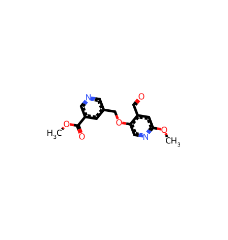 COC(=O)c1cncc(COc2cnc(OC)cc2C=O)c1